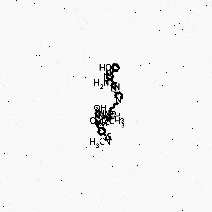 Cc1ncsc1-c1ccc(CNC(=O)[C@@H]2C[C@@H](O)CN2C(=O)[C@@H](NC(=O)CCCCN2CCC[C@@H](Cn3cc(-c4cc(-c5ccccc5O)nnc4N)cn3)C2)C(C)(C)C)cc1